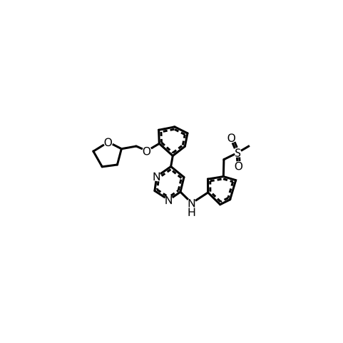 CS(=O)(=O)Cc1cccc(Nc2cc(-c3ccccc3OCC3CCCO3)ncn2)c1